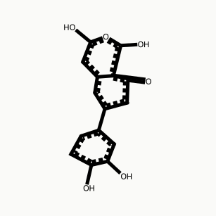 O=c1[c]c(-c2ccc(O)c(O)c2)cc2cc(O)oc(O)c1-2